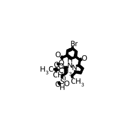 CCc1ccc(C(=O)c2cc(Br)cc(C(=O)OOC(C)(C)C)c2)n1NC(=O)CC[SH](=O)=O